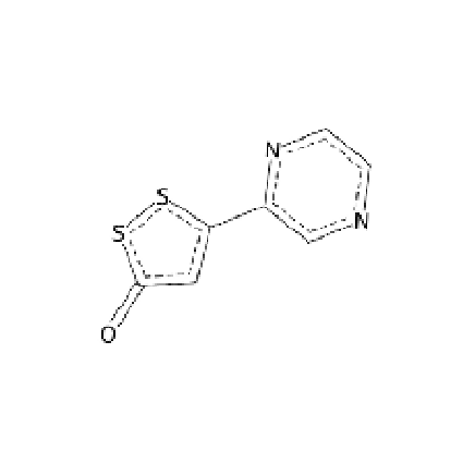 O=c1cc(-c2cnccn2)ss1